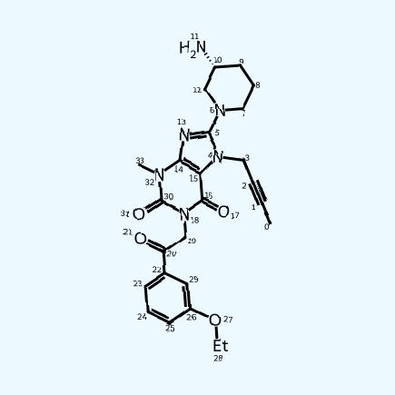 CC#CCn1c(N2CCC[C@@H](N)C2)nc2c1c(=O)n(CC(=O)c1cccc(OCC)c1)c(=O)n2C